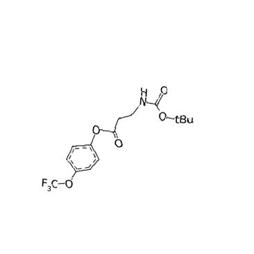 CC(C)(C)OC(=O)NCCC(=O)Oc1ccc(OC(F)(F)F)cc1